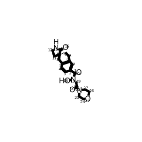 O=C(c1ccc2c(c1)CC[C@@]1(CCNC1=O)C2)N(O)CC(=O)N1CCOCC1